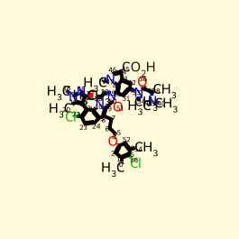 Cc1cc(OCCCc2c3n(c4c(-c5c(C)nn(C)c5C)c(Cl)ccc24)C(C)CN(c2cc(N(C)C(=O)C(C)N(C)C)cc4c(C(=O)O)cn(C)c24)C3=O)cc(C)c1Cl